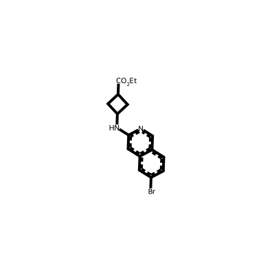 CCOC(=O)C1CC(Nc2cc3cc(Br)ccc3cn2)C1